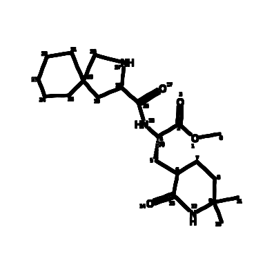 COC(=O)[C@H](CC1CCC(C)(C)NC1=O)NC(=O)C1CC2(CCCCC2)CN1